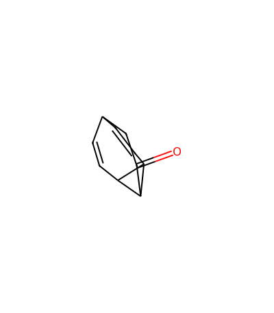 O=C1CC2C=CC3C(C=C2)C13